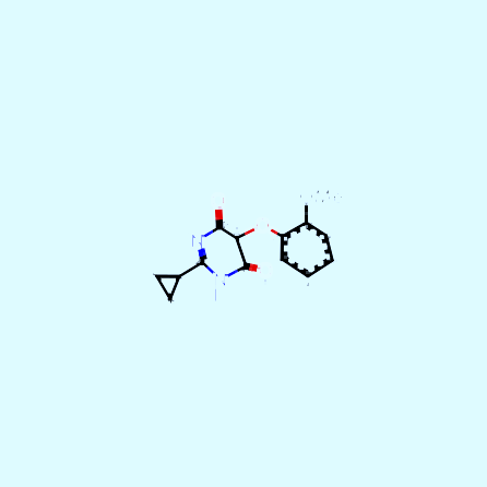 COc1ccccc1OC1C(=O)N=C(C2CC2)NC1=O